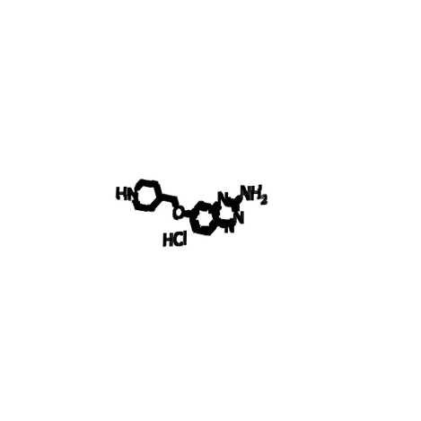 Cl.Nc1nnc2ccc(OCC3CCNCC3)cc2n1